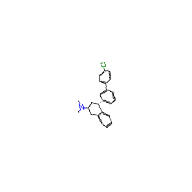 CN(C)[C@@H]1Cc2ccccc2[C@@H](c2cccc(-c3ccc(Cl)cc3)c2)C1